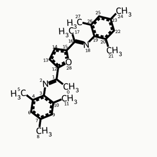 CC(=Nc1c(C)cc(C)cc1C)c1ccc(C(C)=Nc2c(C)cc(C)cc2C)o1